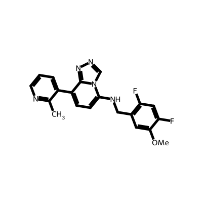 COc1cc(CNc2ccc(-c3cccnc3C)c3nncn23)c(F)cc1F